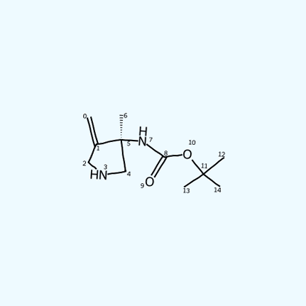 C=C1CNC[C@]1(C)NC(=O)OC(C)(C)C